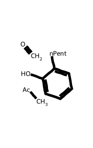 C=O.CC(C)=O.CCCCCc1ccccc1O